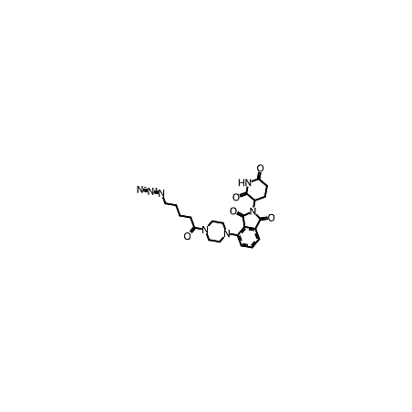 [N-]=[N+]=NCCCCC(=O)N1CCN(c2cccc3c2C(=O)N(C2CCC(=O)NC2=O)C3=O)CC1